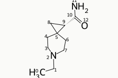 CCN1CCC2(CC1)C[C@@H]2C(N)=O